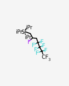 CC(C)[Si](CC(I)CC(F)(F)C(F)(F)C(F)(F)C(F)(F)F)(C(C)C)C(C)C